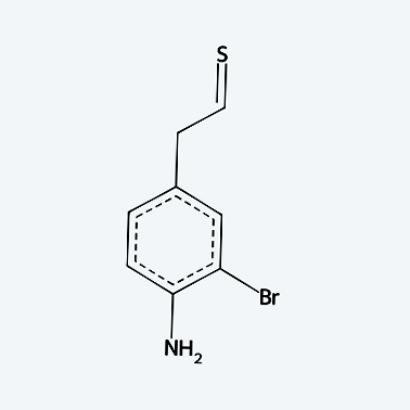 Nc1ccc(CC=S)cc1Br